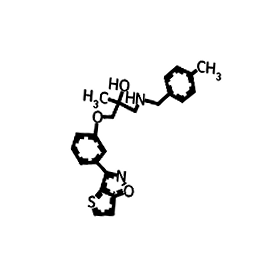 Cc1ccc(CNCC(C)(O)COc2cccc(-c3noc4ccsc34)c2)cc1